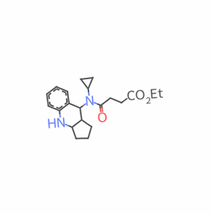 CCOC(=O)CCC(=O)N(C1CC1)C1c2ccccc2NC2CCCC21